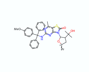 COc1ccc(C(Nc2nc(C)c3sc(=O)n(C4O[C@H](C(C)C)CC4C(C)(C)O)c3n2)(c2ccccc2)c2ccccc2)cc1